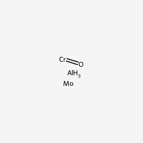 [AlH3].[Mo].[O]=[Cr]